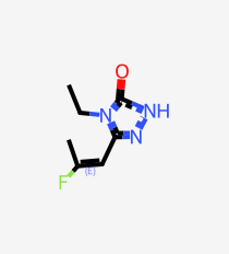 CCn1c(/C=C(\C)F)n[nH]c1=O